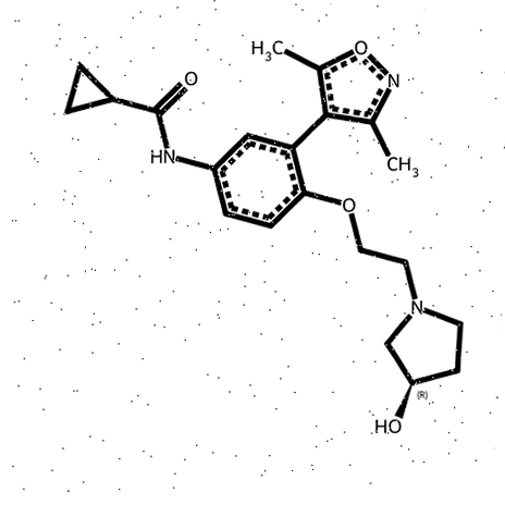 Cc1noc(C)c1-c1cc(NC(=O)C2CC2)ccc1OCCN1CC[C@@H](O)C1